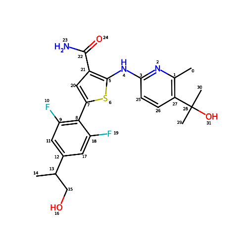 Cc1nc(Nc2sc(-c3c(F)cc(C(C)CO)cc3F)cc2C(N)=O)ccc1C(C)(C)O